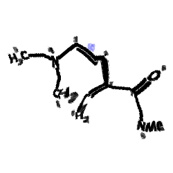 C=C(/C=C\N(C)C)C(=O)NC